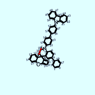 c1ccc(-c2ccc3c(c2)C2(c4ccccc4Oc4ccccc42)c2ccccc2N3c2ccc(-c3ccc(-n4c5ccccc5c5ccccc54)cc3)cc2)cc1